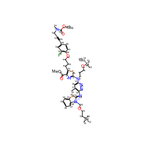 COC(=O)c1nc(N(CCCO[Si](C)(C)C(C)(C)C)c2cc(C)c(/N=c3\sc4ccccc4n3COCC[Si](C)(C)C)nn2)sc1CCCOc1ccc(C#CCN(C)C(=O)OC(C)(C)C)cc1F